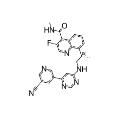 CNC(=O)c1c(F)cnc2c([C@H](C)CNc3cc(-c4cncc(C#N)c4)ncn3)cccc12